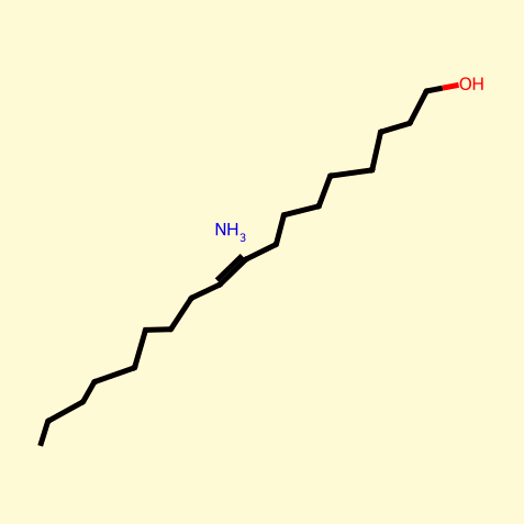 CCCCCCCCC=CCCCCCCCCO.N